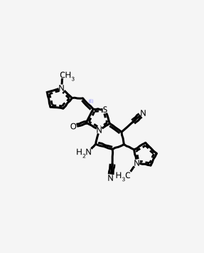 Cn1cccc1/C=c1/sc2n(c1=O)C(N)=C(C#N)C(c1cccn1C)C=2C#N